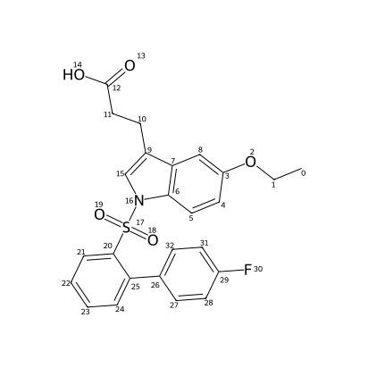 CCOc1ccc2c(c1)c(CCC(=O)O)cn2S(=O)(=O)c1ccccc1-c1ccc(F)cc1